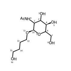 CC(=O)NC1C(O)[C@@H](O)C(CO)O[C@H]1OCCCCO